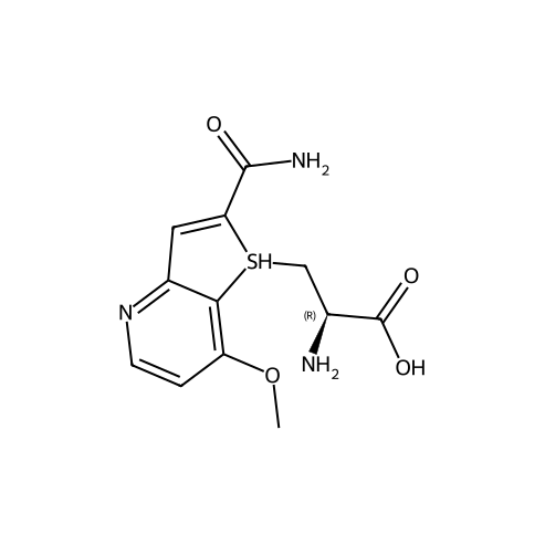 COc1ccnc2c1[SH](C[C@H](N)C(=O)O)C(C(N)=O)=C2